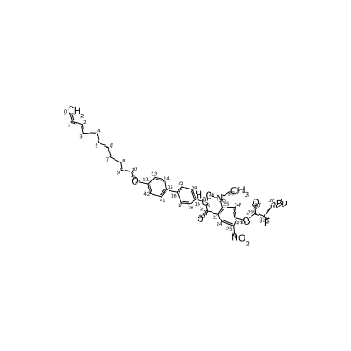 C=CCCCCCCCCCOc1ccc(-c2ccc(OC(=O)c3cc([N+](=O)[O-])c(OC(=O)[C@H](F)CCCC)cc3N(C)C)cc2)cc1